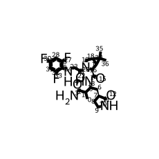 CC(C(N)=O)C(C[C@@H]1CCNC1=O)NC(=O)[C@@H]1C2C(CN1C(=O)CNc1c(F)cc(F)cc1F)C2(C)C